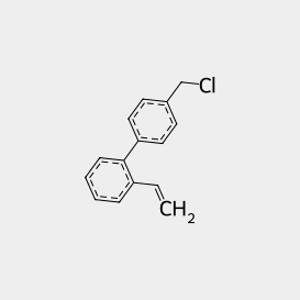 C=Cc1ccccc1-c1ccc(CCl)cc1